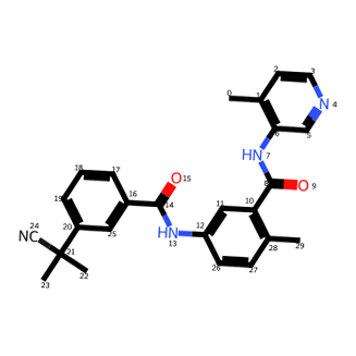 Cc1ccncc1NC(=O)c1cc(NC(=O)c2cccc(C(C)(C)C#N)c2)ccc1C